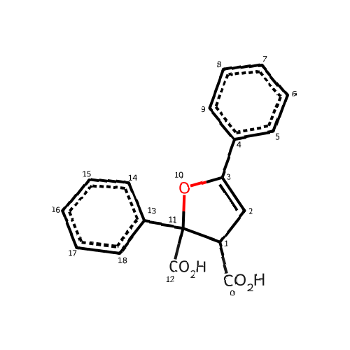 O=C(O)C1C=C(c2ccccc2)OC1(C(=O)O)c1ccccc1